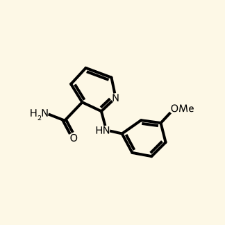 COc1cccc(Nc2ncccc2C(N)=O)c1